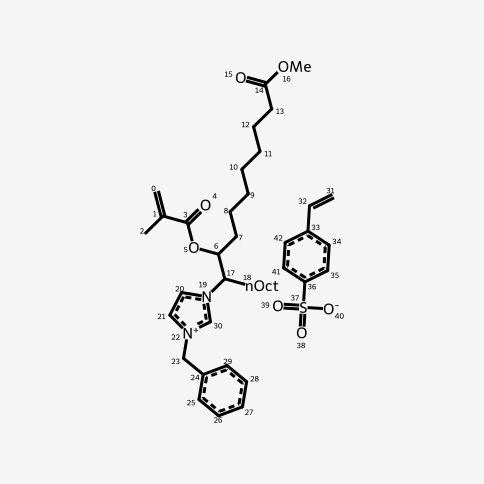 C=C(C)C(=O)OC(CCCCCCCC(=O)OC)C(CCCCCCCC)n1cc[n+](Cc2ccccc2)c1.C=Cc1ccc(S(=O)(=O)[O-])cc1